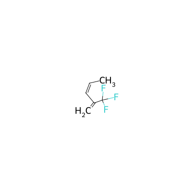 C=C(/C=C\C)C(F)(F)F